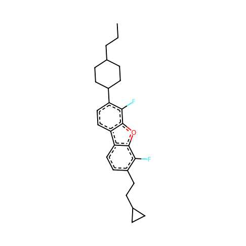 CCCC1CCC(c2ccc3c(oc4c(F)c(CCC5CC5)ccc43)c2F)CC1